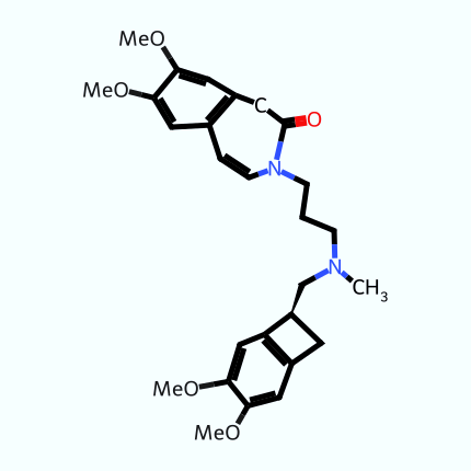 COc1cc2c(cc1OC)CC(=O)N(CCCN(C)C[C@H]1Cc3cc(OC)c(OC)cc31)C=C2